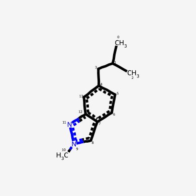 CC(C)Cc1ccc2cn(C)nc2c1